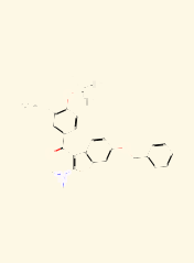 COc1cc(C(=O)c2c(N(C)C)sc3cc(OCc4ccccc4)ccc23)ccc1O[Si](C(C)C)(C(C)C)C(C)C